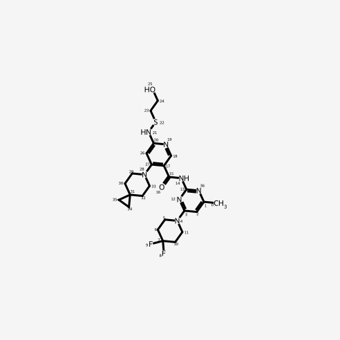 Cc1cc(N2CCC(F)(F)CC2)nc(NC(=O)c2cnc(NSCCO)cc2N2CCC3(CC2)CC3)n1